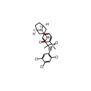 CC(C)(Oc1cc(Cl)c(Cl)cc1Cl)C(=O)N[C@H]1C[C@H]2CC[C@@H](C1)N2c1ccc(S(C)(=O)=O)cc1